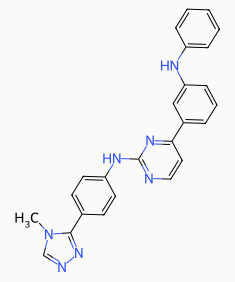 Cn1cnnc1-c1ccc(Nc2nccc(-c3cccc(Nc4ccccc4)c3)n2)cc1